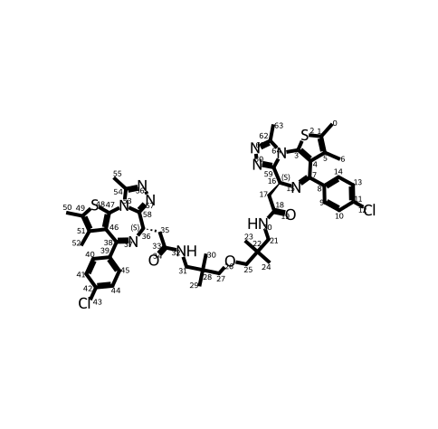 Cc1sc2c(c1C)C(c1ccc(Cl)cc1)=N[C@@H](CC(=O)NCC(C)(C)COCC(C)(C)CNC(=O)C[C@@H]1N=C(c3ccc(Cl)cc3)c3c(sc(C)c3C)-n3c(C)nnc31)c1nnc(C)n1-2